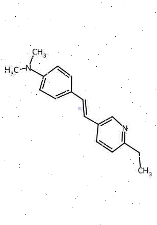 CCc1ccc(/C=C/c2ccc(N(C)C)cc2)cn1